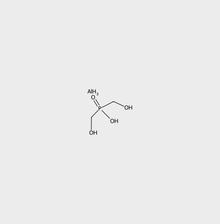 O=P(O)(CO)CO.[AlH3]